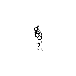 C[C@@H]1CC2C[C@@H](OC(=O)CCN)CC[C@]2(C)[C@H]2CC[C@]3(C)C(=O)CC[C@H]3[C@H]12